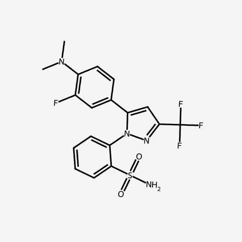 CN(C)c1ccc(-c2cc(C(F)(F)F)nn2-c2ccccc2S(N)(=O)=O)cc1F